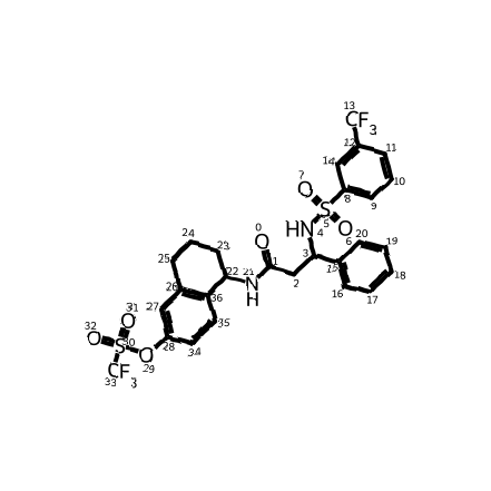 O=C(CC(NS(=O)(=O)c1cccc(C(F)(F)F)c1)c1ccccc1)NC1CCCc2cc(OS(=O)(=O)C(F)(F)F)ccc21